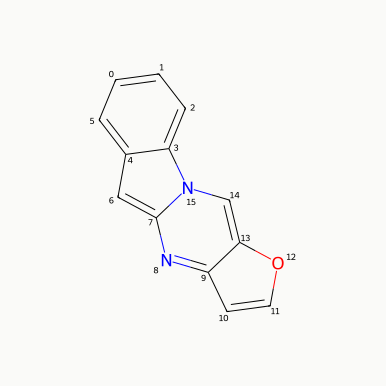 c1ccc2c(c1)cc1nc3ccoc3cn12